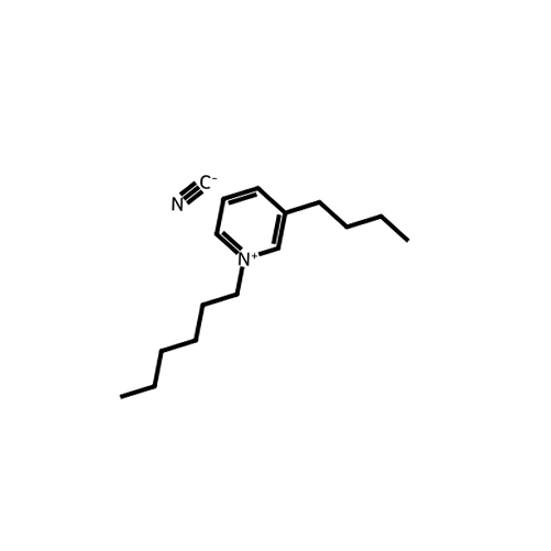 CCCCCC[n+]1cccc(CCCC)c1.[C-]#N